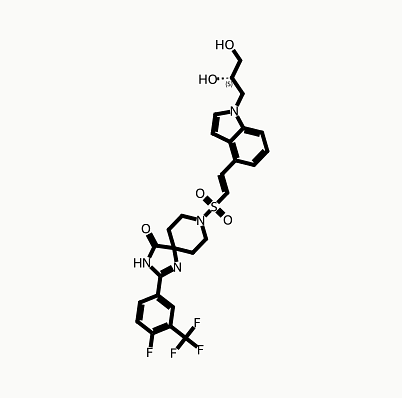 O=C1NC(c2ccc(F)c(C(F)(F)F)c2)=NC12CCN(S(=O)(=O)C=Cc1cccc3c1ccn3C[C@H](O)CO)CC2